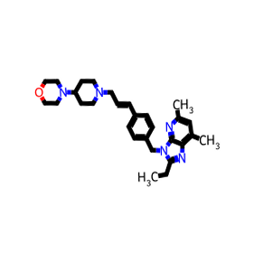 CCc1nc2c(C)cc(C)nc2n1Cc1ccc(/C=C/CN2CCC(N3CCOCC3)CC2)cc1